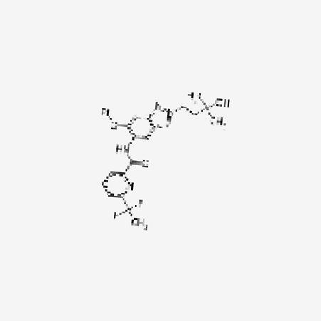 CCOc1cc2nn(CCC(C)(C)O)cc2cc1NC(=O)c1cccc(C(C)(F)F)n1